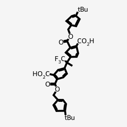 CC(C)(C)c1ccc(COC(=O)c2ccc(C(C)(c3ccc(C(=O)O)c(C(=O)OCc4ccc(C(C)(C)C)cc4)c3)C(F)(F)F)cc2C(=O)O)cc1